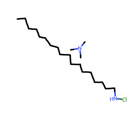 CCCCCCCCCCCCCCCCCCNCl.CN(C)C